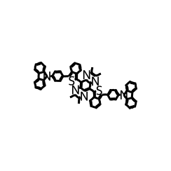 Cc1nc2c(-c3sc(-c4ccc(-n5c6ccccc6c6ccccc65)cc4)c4ccccc34)c3nc(C)c(C)nc3c(-c3sc(-c4ccc(-n5c6ccccc6c6ccccc65)cc4)c4ccccc34)c2nc1C